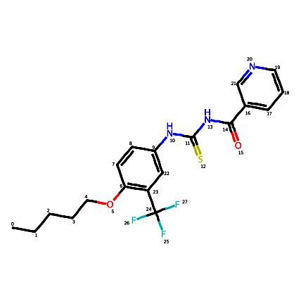 CCCCCOc1ccc(NC(=S)NC(=O)c2cccnc2)cc1C(F)(F)F